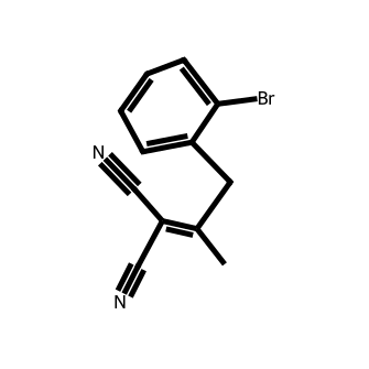 CC(Cc1ccccc1Br)=C(C#N)C#N